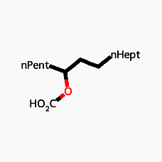 CCCCCCCCCC(CCCCC)OC(=O)O